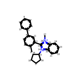 Cc1ccc(-c2ccccc2)cc1-c1n(C2CCCC2)c2ccccc2[n+]1C